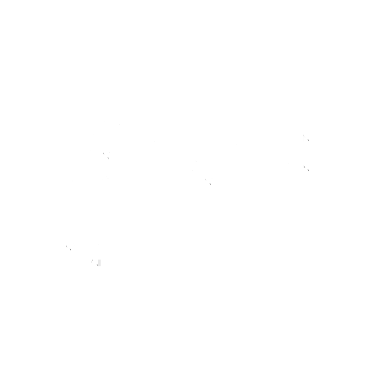 CS(=O)(=O)N(OC(=O)/C=C\C(=O)OCS(=O)(=O)Nc1cc(F)cc2c1OCCC2c1c[nH]cn1)c1cc(F)cc2c1OCCC2c1c[nH]cn1